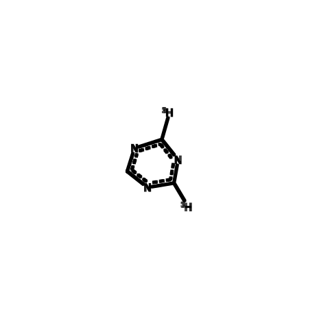 [3H]c1ncnc([3H])n1